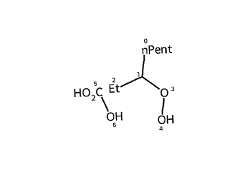 CCCCCC(CC)OO.O=C(O)O